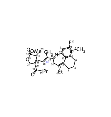 CCC1=C2CCCc3c(C)c(F)cc(c32)N=C(/C(C)=C/C2=C(C(=O)C(C)C)COC(=O)C2OC)C1